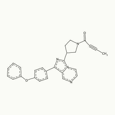 CC#CC(=O)N1CCC(c2nc(-c3ccc(Oc4ccccc4)cc3)c3cnccn23)C1